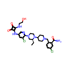 CC[C@H]1CN(c2ncc(Nc3c(NCCO)c(=O)c3=O)cc2Cl)CCN1C1CCN(Cc2ccc(Cl)cc2C(N)=O)CC1